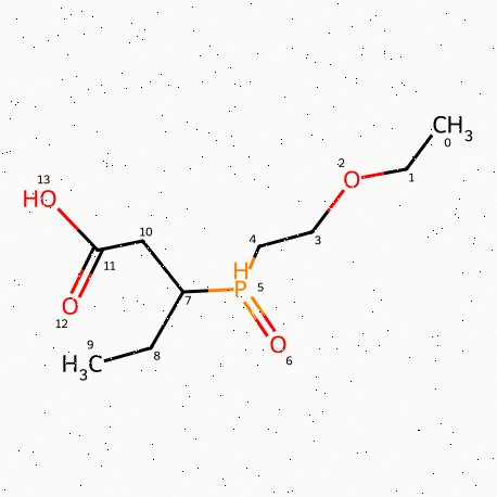 CCOCC[PH](=O)C(CC)CC(=O)O